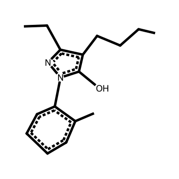 CCCCc1c(CC)nn(-c2ccccc2C)c1O